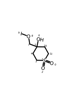 O=S1(=O)CCC(O)(COI)CC1